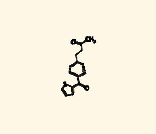 CC(=O)CCc1ccc(C(=O)c2cccs2)cc1